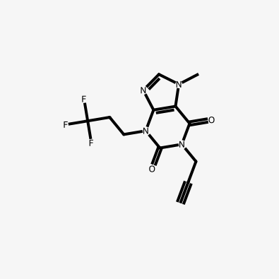 C#CCn1c(=O)c2c(ncn2C)n(CCC(F)(F)F)c1=O